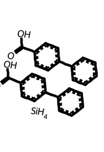 O=C(O)c1ccc(-c2ccccc2)cc1.O=C(O)c1ccc(-c2ccccc2)cc1.[SiH4]